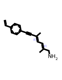 C=Cc1ccc(C#C/C(C)=C/C=C(\C)CN)cc1